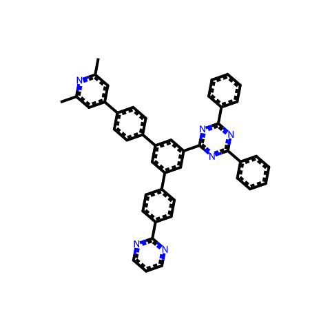 Cc1cc(-c2ccc(-c3cc(-c4ccc(-c5ncccn5)cc4)cc(-c4nc(-c5ccccc5)nc(-c5ccccc5)n4)c3)cc2)cc(C)n1